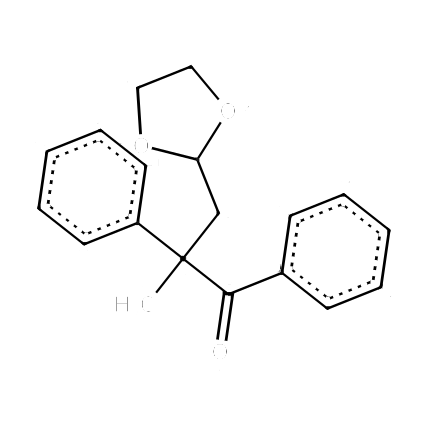 CC(CC1OCCO1)(C(=O)c1ccccc1)c1ccccc1